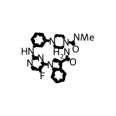 CNC(=O)N1CCN(c2cccc(Nc3ncc(F)c(-n4cc(C(N)=O)c5ccccc54)n3)c2)CC1